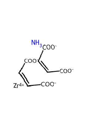 N.O=C([O-])/C=C\C(=O)[O-].O=C([O-])/C=C\C(=O)[O-].[Zr+4]